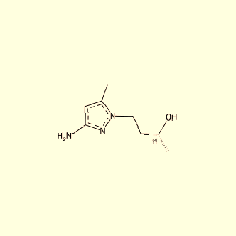 Cc1cc(N)nn1CC[C@@H](C)O